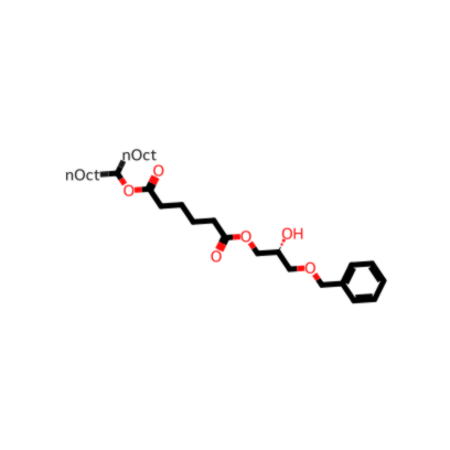 CCCCCCCCC(CCCCCCCC)OC(=O)CCCCC(=O)OC[C@H](O)COCc1ccccc1